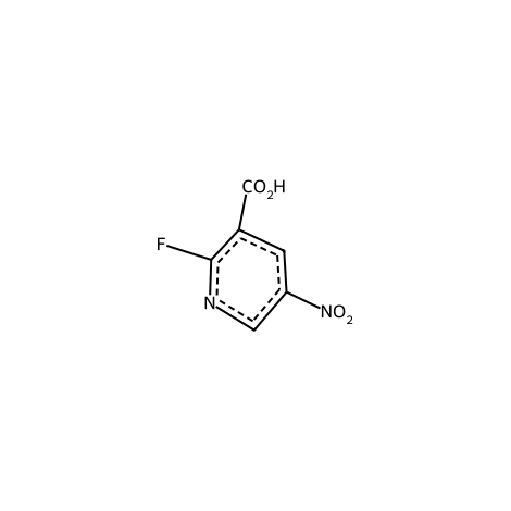 O=C(O)c1cc([N+](=O)[O-])cnc1F